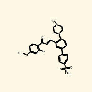 COc1ccc(C(=O)C=Cc2cc(-c3ccc(S(C)(=O)=O)cc3)ccc2N2CCN(C)CC2)c(F)c1